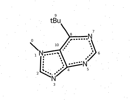 Cn1cnc2ncnc(C(C)(C)C)c21